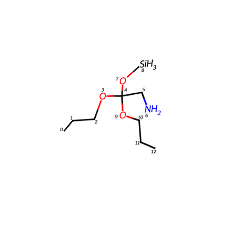 CCCOC(CN)(O[SiH3])OCCC